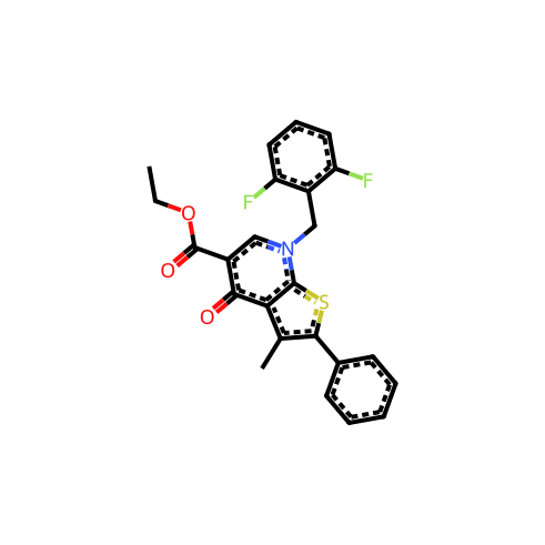 CCOC(=O)c1cn(Cc2c(F)cccc2F)c2sc(-c3ccccc3)c(C)c2c1=O